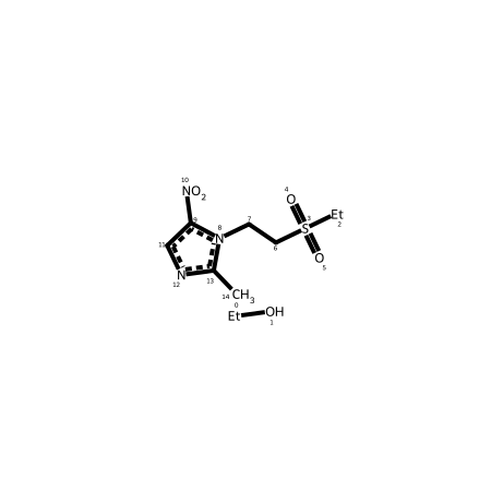 CCO.CCS(=O)(=O)CCn1c([N+](=O)[O-])cnc1C